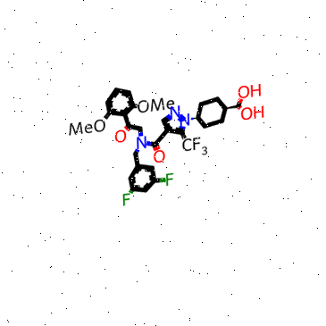 COc1cccc(OC)c1C(=O)CN(Cc1cc(F)cc(F)c1)C(=O)c1cnn([C@H]2CC[C@H](C(O)O)CC2)c1C(F)(F)F